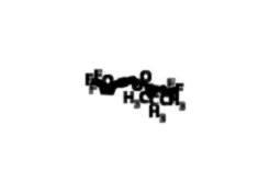 C/C(=C\[C@@H]1[C@@H](C(=O)OCC#Cc2ccc(C(F)(F)F)o2)C1(C)C)C(F)(F)F